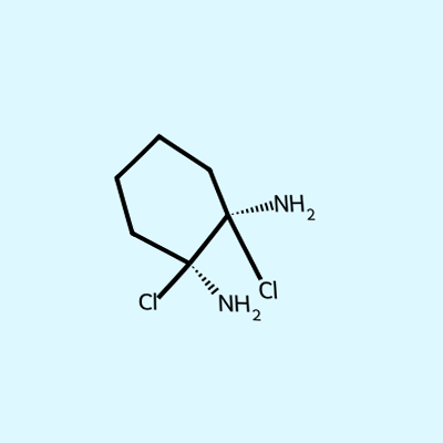 N[C@]1(Cl)CCCC[C@@]1(N)Cl